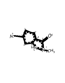 CC(=O)c1ccc2c(=O)n(C)[nH]c2c1